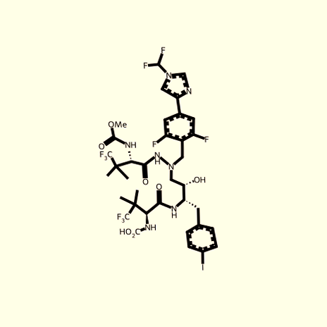 COC(=O)N[C@H](C(=O)NN(Cc1c(F)cc(-c2cn(C(F)F)cn2)cc1F)C[C@H](O)[C@H](Cc1ccc(I)cc1)NC(=O)[C@@H](NC(=O)O)C(C)(C)C(F)(F)F)C(C)(C)C(F)(F)F